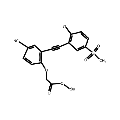 CC(C)(C)OC(=O)COc1ccc(C#N)cc1C#Cc1cc(S(C)(=O)=O)ccc1Cl